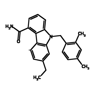 CCc1c[c]c2c3c(C(N)=O)cccc3n(Cc3ccc(C)cc3C)c2c1